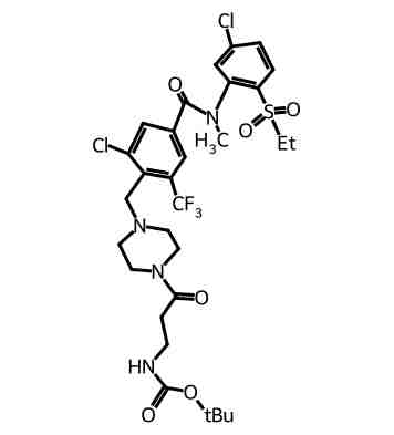 CCS(=O)(=O)c1ccc(Cl)cc1N(C)C(=O)c1cc(Cl)c(CN2CCN(C(=O)CCNC(=O)OC(C)(C)C)CC2)c(C(F)(F)F)c1